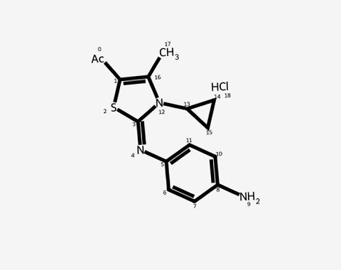 CC(=O)c1sc(=Nc2ccc(N)cc2)n(C2CC2)c1C.Cl